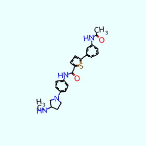 CNC1CCN(c2ccc(NC(=O)c3ccc(-c4cccc(NC(C)=O)c4)s3)cc2)C1